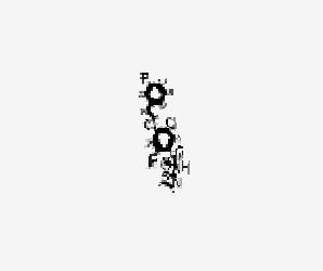 O=S(=O)(Nc1nccs1)c1cc(Cl)c(OCCc2cccc(F)c2)cc1F